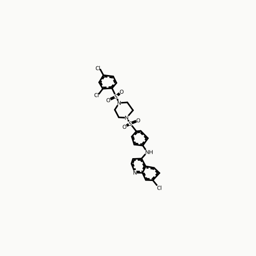 O=S(=O)(c1ccc(Nc2ccnc3cc(Cl)ccc23)cc1)N1CCN(S(=O)(=O)c2ccc(Cl)cc2Cl)CC1